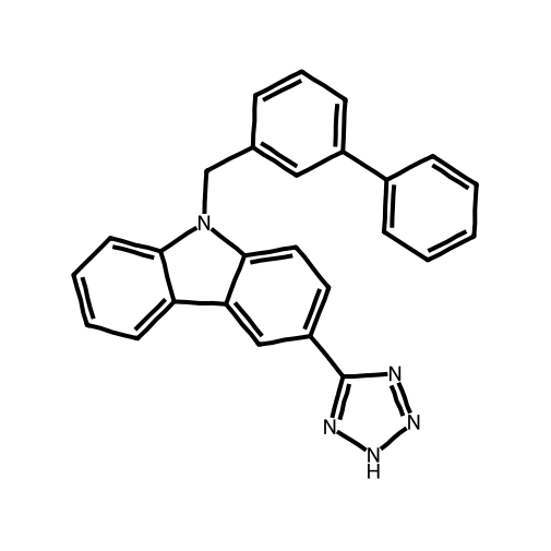 c1ccc(-c2cccc(Cn3c4ccccc4c4cc(-c5nn[nH]n5)ccc43)c2)cc1